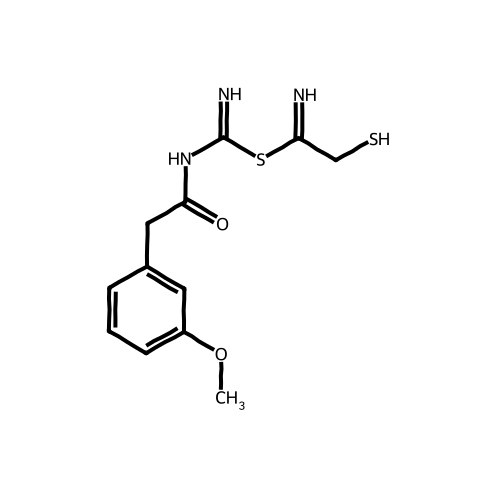 COc1cccc(CC(=O)NC(=N)SC(=N)CS)c1